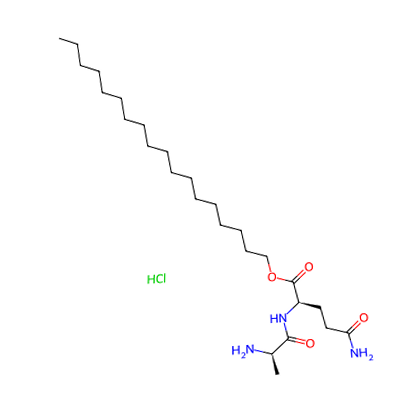 CCCCCCCCCCCCCCCCCCOC(=O)[C@@H](CCC(N)=O)NC(=O)[C@@H](C)N.Cl